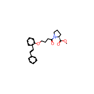 COC(=O)[C@@H]1CCCN1C(=O)CCCOc1ccccc1/C=C/c1ccccc1